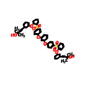 CC(C)(O)C#Cc1cccc(Oc2ccccc2S(=O)(=O)c2ccc(Oc3cccc(Oc4ccc(S(=O)(=O)c5ccccc5Oc5cccc(C#CC(C)(C)O)c5)cc4)c3)cc2)c1